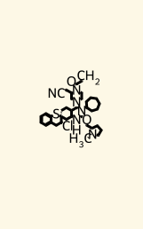 C=CC(=O)N1CCN(C2C3CC[C@@]4(CC3NC(OCC3CCCN3C)N2C2CCCCCC2)Sc2ccccc2CC4Cl)CC1CC#N